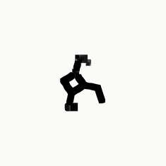 CCC1C(O)CN1N